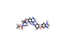 Cc1cc(Nc2ncnc3cc4c(cc23)N2CCN(C(=O)OC(C)(C)C)C[C@@H]2CO4)ccc1Oc1ccc2c(c1)ncn2C